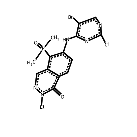 CCn1ncc2c(P(C)(C)=O)c(Nc3nc(Cl)ncc3Br)ccc2c1=O